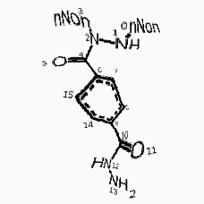 CCCCCCCCCNN(CCCCCCCCC)C(=O)c1ccc(C(=O)NN)cc1